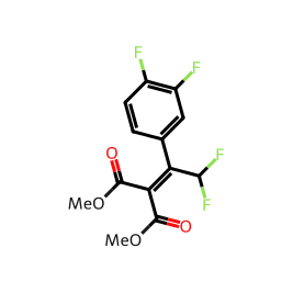 COC(=O)C(C(=O)OC)=C(c1ccc(F)c(F)c1)C(F)F